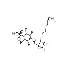 CCCCCCCCC(C)C(C)COc1c(F)c(F)c(S(=O)(=O)O)c(F)c1F